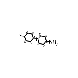 C[C@H]1CC[C@H](N2CCC(N)CC2)CC1